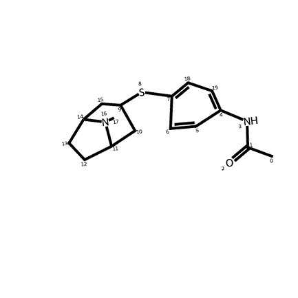 CC(=O)Nc1ccc(SC2CC3CCC(C2)N3C)cc1